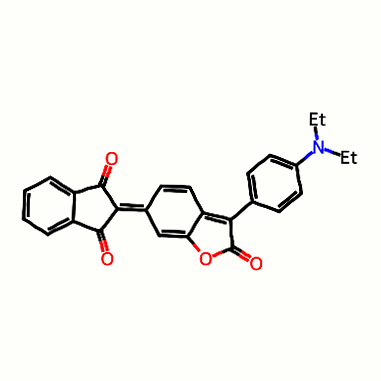 CCN(CC)c1ccc(C2=c3ccc(=C4C(=O)c5ccccc5C4=O)cc3OC2=O)cc1